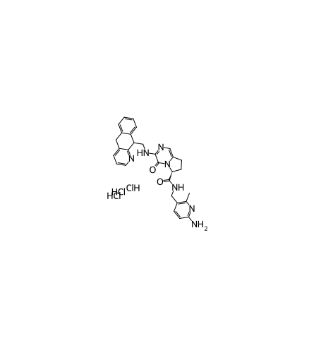 Cc1nc(N)ccc1CNC(=O)[C@@H]1CCc2cnc(NCC3c4ccccc4Cc4cccnc43)c(=O)n21.Cl.Cl.Cl